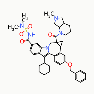 CN1CC2CCCN(C(=O)C34CC3c3cc(OCc5ccccc5)ccc3-c3c(C5CCCCC5)c5ccc(C(=O)NS(=O)(=O)N(C)C)cc5n3C4)C2C1